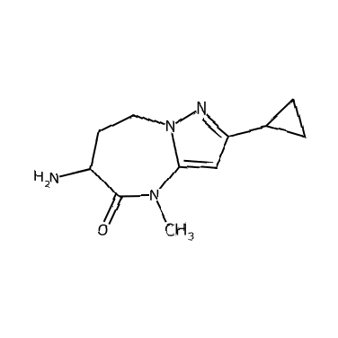 CN1C(=O)C(N)CCn2nc(C3CC3)cc21